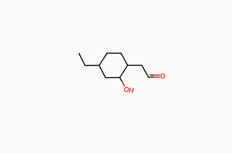 CCC1CCC(CC=O)C(O)C1